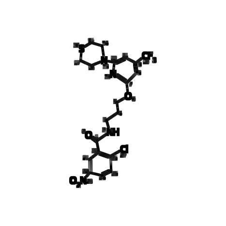 O=C(NCCCOc1cc(C(F)(F)F)cc(N2CCSCC2)n1)c1cc([N+](=O)[O-])ccc1Cl